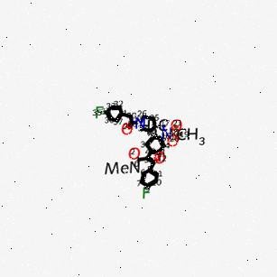 CNC(=O)c1c(-c2ccc(F)cc2)oc2cc(N(C)S(C)(=O)=O)c([C@H]3CCCN(C(=O)Cc4ccc(F)cc4)C3)cc12